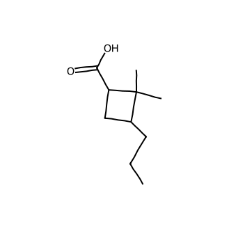 CCCC1CC(C(=O)O)C1(C)C